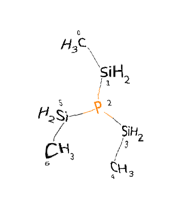 C[SiH2]P([SiH2]C)[SiH2]C